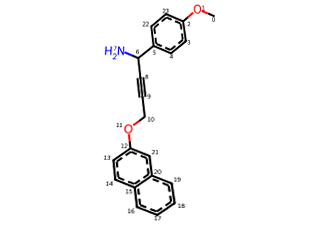 COc1ccc(C(N)C#CCOc2ccc3ccccc3c2)cc1